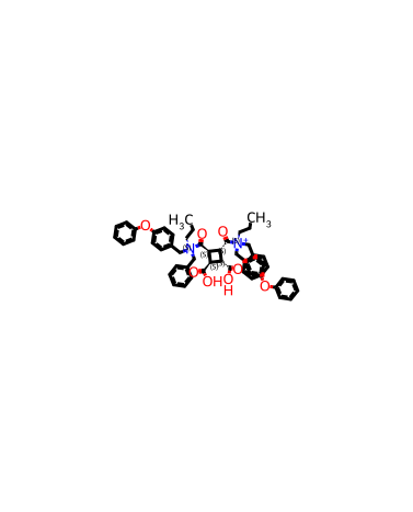 CCC[N@+](Cc1ccccc1)(Cc1ccc(Oc2ccccc2)cc1)C(=O)[C@@H]1[C@H](C(=O)O)[C@@H](C(=O)O)[C@H]1C(=O)[N@@+](CCC)(Cc1ccccc1)Cc1ccc(Oc2ccccc2)cc1